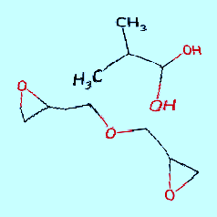 C(OCC1CO1)C1CO1.CC(C)C(O)O